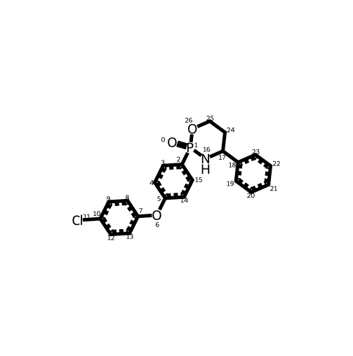 O=P1(c2ccc(Oc3ccc(Cl)cc3)cc2)NC(c2ccccc2)CCO1